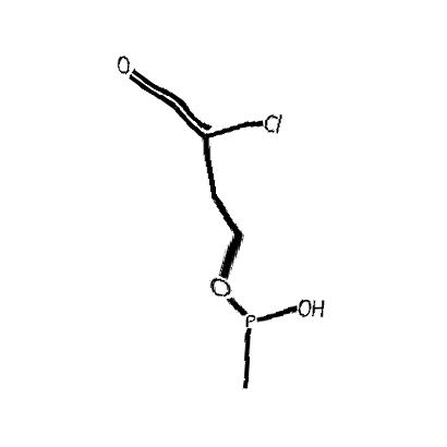 CP(O)OCCC(Cl)=C=O